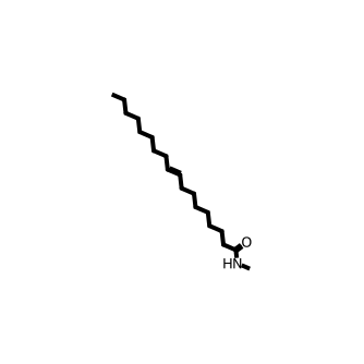 CCCCCCCCC=CCCCCCCCC(=O)NC